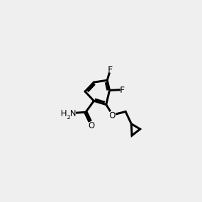 NC(=O)c1ccc(F)c(F)c1OCC1CC1